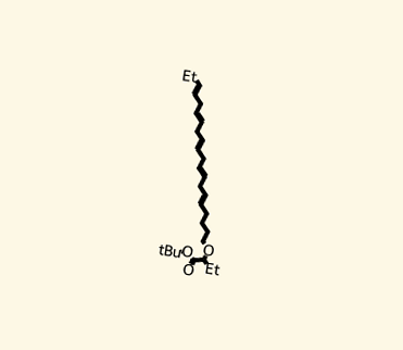 CCC=CCC=CCC=CCC=CCC=CCCCCOC(CC)C(=O)OC(C)(C)C